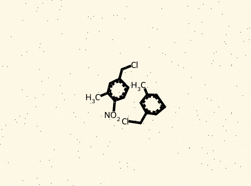 Cc1cc(CCl)ccc1[N+](=O)[O-].Cc1cccc(CCl)c1